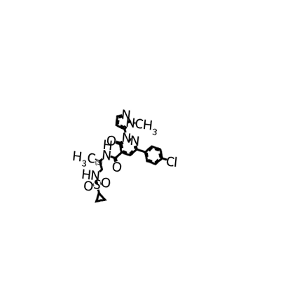 C[C@@H](CNS(=O)(=O)C1CC1)NC(=O)c1cc(-c2ccc(Cl)cc2)nn(-c2ccnn2C)c1=O